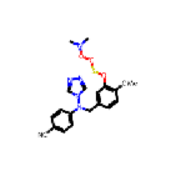 COc1ccc(CN(c2ccc(C#N)cc2)n2cnnc2)cc1OSOON(C)C